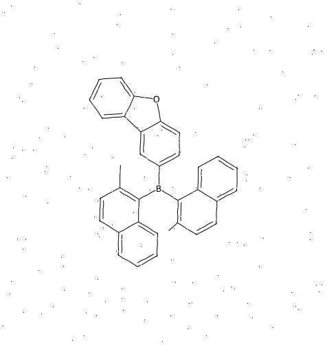 Cc1ccc2ccccc2c1B(c1ccc2oc3ccccc3c2c1)c1c(C)ccc2ccccc12